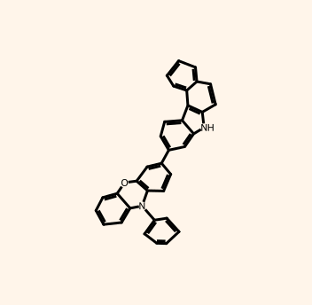 c1ccc(N2c3ccccc3Oc3cc(-c4ccc5c(c4)[nH]c4ccc6ccccc6c45)ccc32)cc1